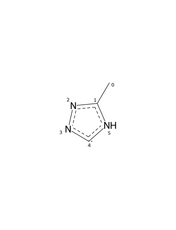 Cc1nn[c][nH]1